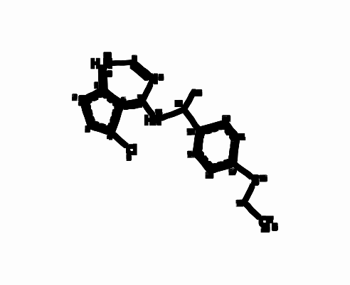 C=c1scc(Cl)/c1=C(/N=C\N)NC(C)c1ccc(SCC(F)(F)F)cc1